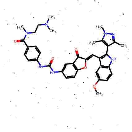 COc1ccc2[nH]c(-c3c(C)nn(C)c3C)c(/C=C3\Oc4ccc(NC(=O)Nc5ccc(C(=O)N(C)CCN(C)C)cc5)cc4C3=O)c2c1